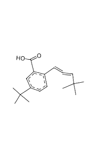 CC(C)(C)C=C=Cc1ccc(C(C)(C)C)cc1C(=O)O